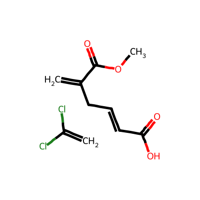 C=C(CC=CC(=O)O)C(=O)OC.C=C(Cl)Cl